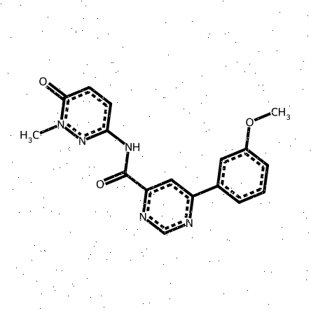 COc1cccc(-c2cc(C(=O)Nc3ccc(=O)n(C)n3)ncn2)c1